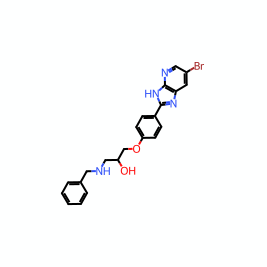 OC(CNCc1ccccc1)COc1ccc(-c2nc3cc(Br)cnc3[nH]2)cc1